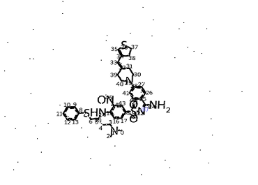 CN(C)CC[C@H](CSc1ccccc1)Nc1ccc(S(=O)(=O)/N=C(/N)c2ccc(N3CCC(=CC4=CSCC4)CC3)cc2)cc1N=O